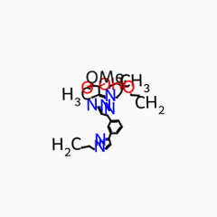 C=CCCn1ccc(-c2cccc(-c3cc4nc(C)c([C@H](O)C(=O)OC)c(N5CCC(C)(OCC=C)CC5)n4n3)c2)n1